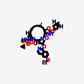 CCOc1ccc2c(O[C@@H]3C[C@H]4C(=O)N[C@]5(C(=O)NS(=O)(=O)C6CC6)C[C@H]5/C=C\CC[C@H](C)C[C@@H](C)[C@H](NC(=O)O[C@@H]5C[C@@H]6C[C@@H]6C5)C(=O)N4C3)nccc2c1